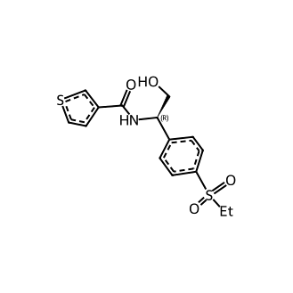 CCS(=O)(=O)c1ccc([C@H](CO)NC(=O)c2ccsc2)cc1